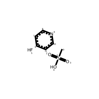 CS(=O)(=O)O.F.c1ccncc1